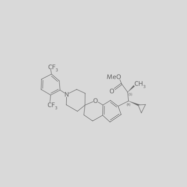 COC(=O)[C@@H](C)[C@H](c1ccc2c(c1)OC1(CC2)CCN(c2cc(C(F)(F)F)ccc2C(F)(F)F)CC1)C1CC1